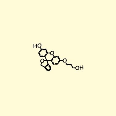 OC/C=C/Oc1ccc2c(c1)Oc1cc(O)ccc1[C@]21OCc2ccccc21